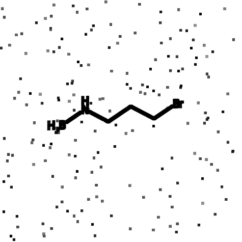 BNCCCBr